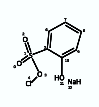 O=S(=O)(OCl)c1ccccc1O.[NaH]